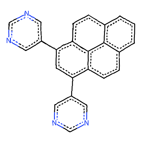 c1cc2ccc3c(-c4cncnc4)cc(-c4cncnc4)c4ccc(c1)c2c34